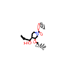 C#CC(O)C1CCN(C(=O)OC(C)(C)C)CC1OCOC